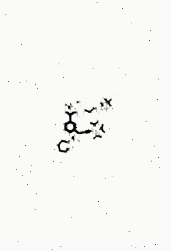 CSCn1ncc(-c2ccc3c(c2)c(C#C[Si](C(C)C)(C(C)C)C(C)C)nn3C2CCCCO2)c1OCCCO[Si](C)(C)C(C)(C)C